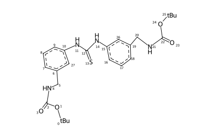 CC(C)(C)OC(=O)NCc1cccc(NC(=S)Nc2cccc(CNC(=O)OC(C)(C)C)c2)c1